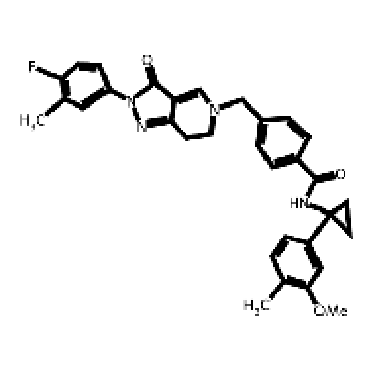 COc1cc(C2(NC(=O)c3ccc(CN4C=C5C(=O)N(c6ccc(F)c(C)c6)N=C5CC4)cc3)CC2)ccc1C